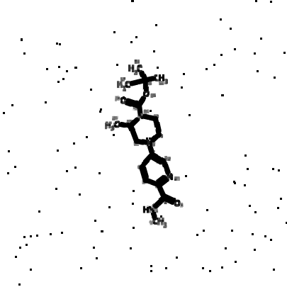 CNC(=O)c1ccc(N2CCN(C(=O)OC(C)(C)C)C(C)C2)cn1